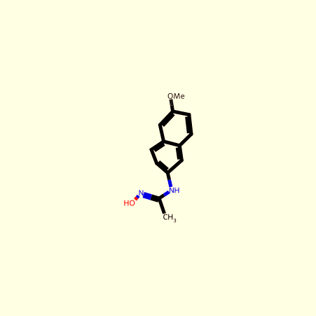 COc1ccc2cc(NC(C)=NO)ccc2c1